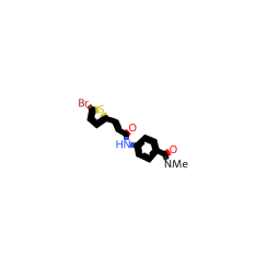 CNC(=O)c1ccc(NC(=O)/C=C/c2ccc(Br)s2)cc1